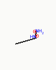 CCCCCCCCCCCCCCCCCC(C)NC(=O)CCC(N)=O